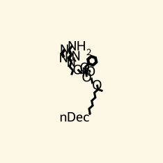 CCCCCCCCCCCCCCCCC(C)OCCOP(=O)(COC(C)Cn1cnc2c(N)ncnc21)Oc1ccccc1